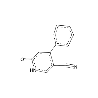 N#Cc1c[nH]c(=O)cc1-c1ccccc1